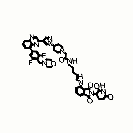 O=C(CN1CCC(n2cc(-c3cnc4cccc(-c5cc(F)c(CN6CCOCC6)c(F)c5)c4n3)cn2)CC1)NCCCCCNc1cccc2c1C(=O)N(C1CCC(=O)NC1=O)C2=O